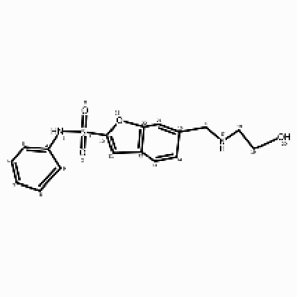 O=S(=O)(Nc1ccccc1)c1cc2ccc(CNCCO)cc2o1